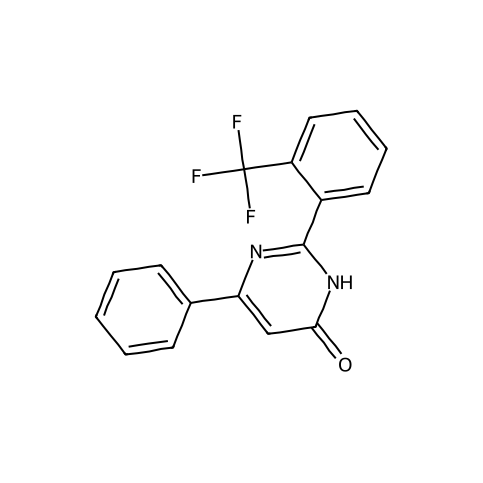 O=c1cc(-c2ccccc2)nc(-c2ccccc2C(F)(F)F)[nH]1